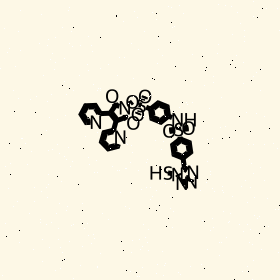 O=C1C(c2ccccn2)=C(c2ccccn2)C(=O)N1OS(=O)(=O)c1ccc(NS(=O)(=O)c2ccc(-c3nnnn3S)cc2)cc1